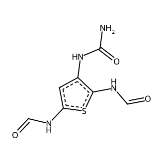 NC(=O)Nc1cc(NC=O)sc1NC=O